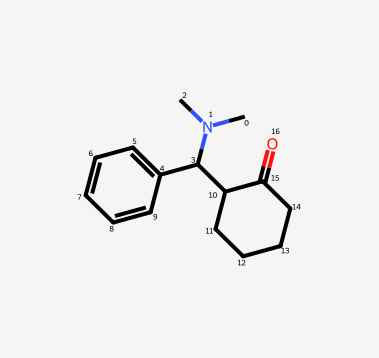 CN(C)C(c1ccccc1)C1CCCCC1=O